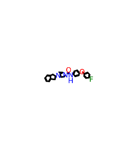 O=C(Nc1ccc(Oc2ccc(F)cc2)cc1)N1CC2CC1CN2C1Cc2ccccc2C1